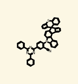 N#Cc1cc(-c2nc(-c3ccccc3)nc(-c3ccccc3)n2)ccc1-n1c2ccccc2c2c3c(ccc21)C1(c2ccccc2Sc2ccccc21)c1ccccc1-3